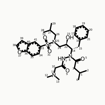 CC(C)CC(=O)N(NC(=O)CN(C)C)[C@@H](Cc1ccccc1)[C@H](O)CN(CC(C)C)S(=O)(=O)c1ccc2occc2c1